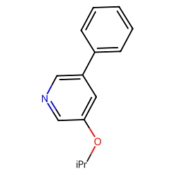 CC(C)Oc1cncc(-c2ccccc2)c1